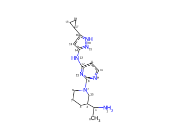 CC(N)C1CCCN(c2nccc(Nc3cc(C4CC4)[nH]n3)n2)C1